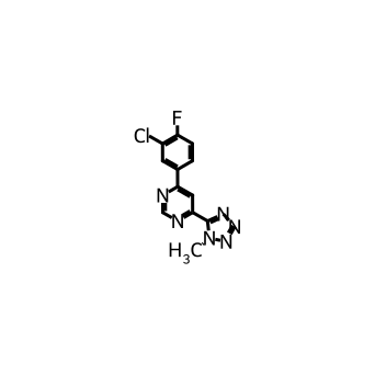 Cn1nnnc1-c1cc(-c2ccc(F)c(Cl)c2)ncn1